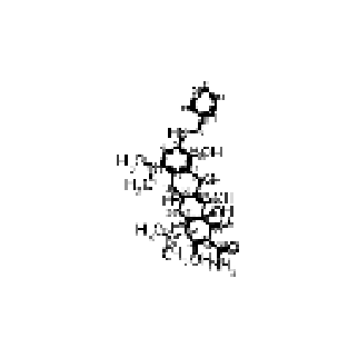 CN(C)c1cc(NCc2cccnc2)c(O)c2c1C[C@H]1C[C@H]3[C@H](N(C)C)C(O)=C(C(N)=O)C(=O)[C@@]3(O)C(O)=C1C2=O